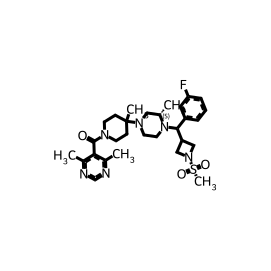 Cc1ncnc(C)c1C(=O)N1CCC(C)(N2CCN(C(c3cccc(F)c3)C3CN(S(C)(=O)=O)C3)[C@@H](C)C2)CC1